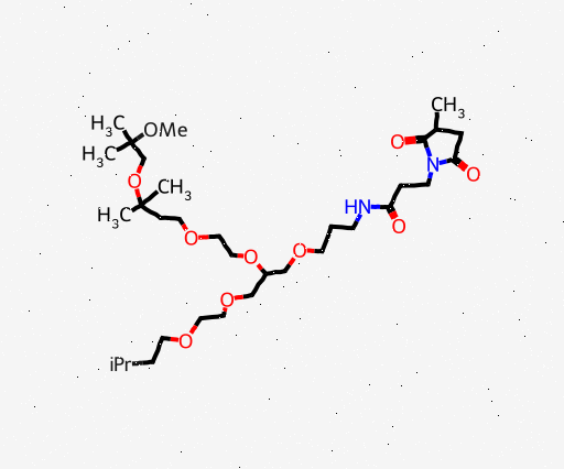 COC(C)(C)COC(C)(C)CCOCCOC(COCCCNC(=O)CCN1C(=O)CC(C)C1=O)COCCOCCC(C)C